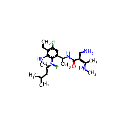 C=Cc1c(Cl)cc(C(C)NC(=O)/C(CN)=C(/C)NC)c(N(F)CCC(C)C)c1NC